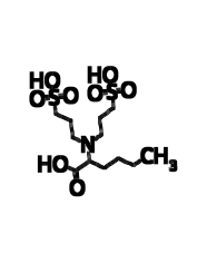 CCCCC(C(=O)O)N(CCCS(=O)(=O)O)CCCS(=O)(=O)O